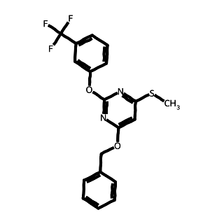 CSc1cc(OCc2ccccc2)nc(Oc2cccc(C(F)(F)F)c2)n1